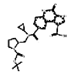 CC(C)(C)OC(=O)N1CCC[C@H]1CN(C(=O)c1ccc2[nH]c(=O)c3[nH]cc(C(=O)O)c3c2c1)C1CC1